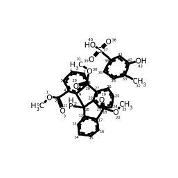 COC(=O)c1ccccc1C(P)(c1ccccc1C(=O)OC)c1ccccc1C(=O)OC.Cc1ccc(S(=O)(=O)O)cc1O